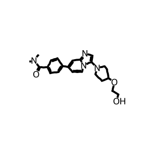 CN(C)C(=O)c1ccc(-c2ccn3c(N4CCC(OCCO)CC4)cnc3c2)cc1